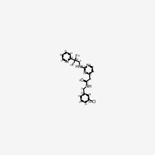 O=C(Cc1ccnc(NCC(F)(F)c2ccccn2)n1)NCc1cccc(Cl)c1